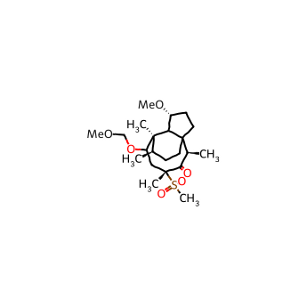 COCOC1C[C@@](C)(S(C)(=O)=O)C(=O)[C@H](C)C23CC[C@@H](C)[C@]1(C)C2[C@H](OC)CC3